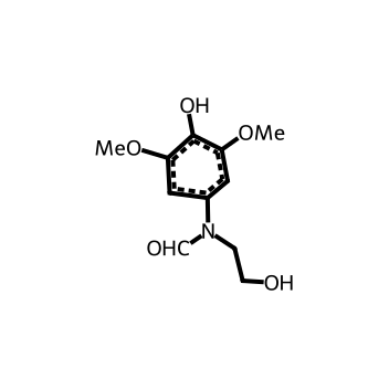 COc1cc(N(C=O)CCO)cc(OC)c1O